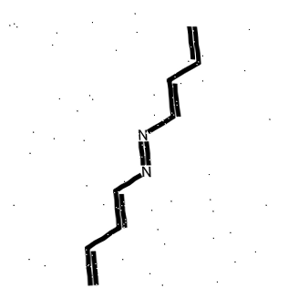 C=CC=CN=NC=CC=C